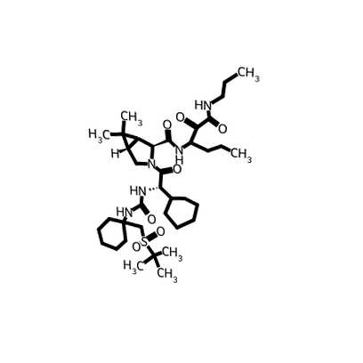 CCCNC(=O)C(=O)C(CCC)NC(=O)[C@@H]1C2[C@H](CN1C(=O)[C@@H](NC(=O)NC1(CS(=O)(=O)C(C)(C)C)CCCCC1)C1CCCCC1)C2(C)C